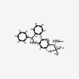 CN[C@@H](c1ccc(NC(c2ccccc2)c2ccccc2)cn1)C(F)(F)F